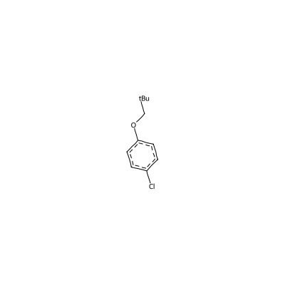 CC(C)(C)COc1ccc(Cl)cc1